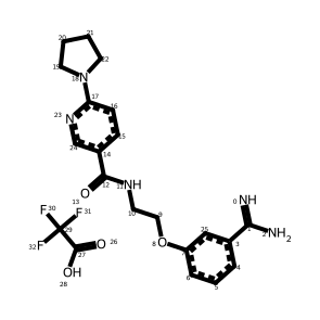 N=C(N)c1cccc(OCCNC(=O)c2ccc(N3CCCC3)nc2)c1.O=C(O)C(F)(F)F